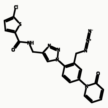 [N-]=[N+]=NCc1cc(-n2ccccc2=O)ccc1-n1cc(CNC(=O)c2ccc(Cl)s2)nn1